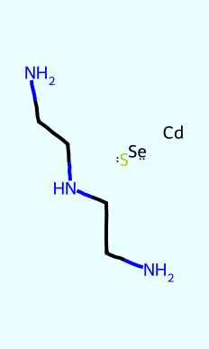 NCCNCCN.[Cd].[S].[Se]